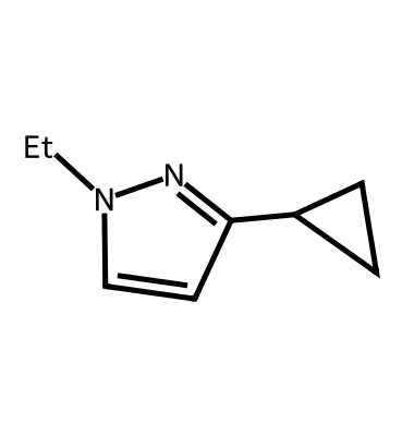 CCn1ccc(C2CC2)n1